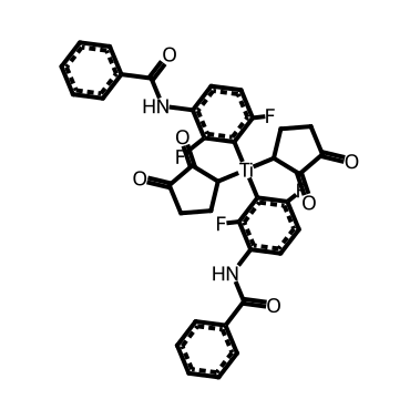 O=C1CC[CH]([Ti]([c]2c(F)ccc(NC(=O)c3ccccc3)c2F)([c]2c(F)ccc(NC(=O)c3ccccc3)c2F)[CH]2CCC(=O)C2=O)C1=O